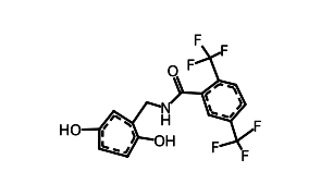 O=C(NCc1cc(O)ccc1O)c1cc(C(F)(F)F)ccc1C(F)(F)F